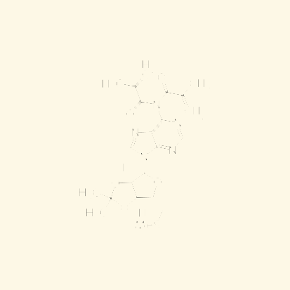 C=C(C)C(=O)N(C(=O)C(=C)C)c1ncnc2c1ncn2[C@@H]1O[C@H](CSC)[C@H]2OC(C)(C)O[C@H]21